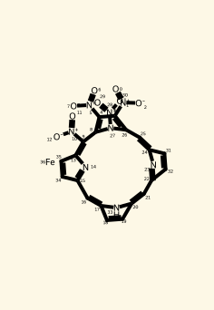 O=[N+]([O-])c1c([N+](=O)[O-])c2c([N+](=O)[O-])c3nc(cc4ccc(cc5nc(cc1n2[N+](=O)[O-])C=C5)[nH]4)C=C3.[Fe]